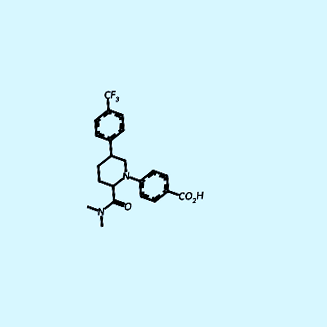 CN(C)C(=O)C1CCC(c2ccc(C(F)(F)F)cc2)CN1c1ccc(C(=O)O)cc1